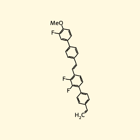 C=Cc1ccc(-c2ccc(/C=C/c3ccc(-c4ccc(OC)c(F)c4)cc3)c(F)c2F)cc1